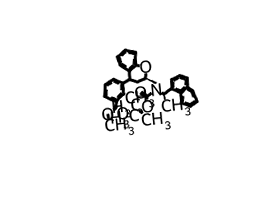 COC(=O)c1cccc(C2C[C@H](CN(C(=O)OC(C)(C)C)[C@H](C)c3cccc4ccccc34)Oc3ccccc32)c1C